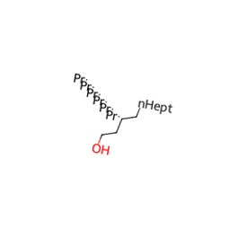 CCCCCCCCCCCO.[Pr].[Pr].[Pr].[Pr].[Pr].[Pr]